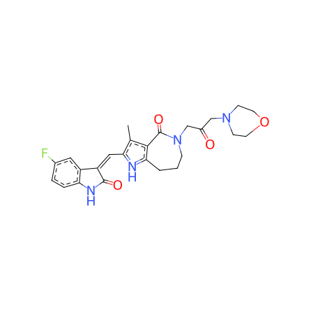 Cc1c(/C=C2\C(=O)Nc3ccc(F)cc32)[nH]c2c1C(=O)N(CC(=O)CN1CCOCC1)CCC2